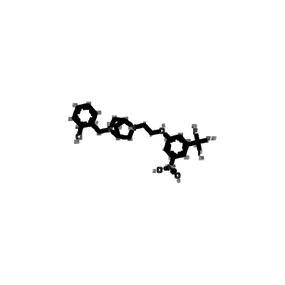 O=[N+]([O-])c1cc(OCCN2CC3CC2CN3Cc2ccccc2Cl)cc(C(F)(F)F)c1